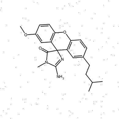 COc1ccc2c(c1)C1(N=C(N)N(C)C1=O)c1cc(CCC(C)C)ccc1O2